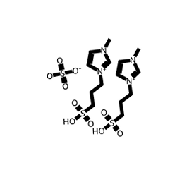 Cn1cc[n+](CCCS(=O)(=O)O)c1.Cn1cc[n+](CCCS(=O)(=O)O)c1.O=S(=O)([O-])[O-]